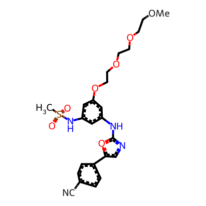 COCCOCCOCCOc1cc(Nc2ncc(-c3ccc(C#N)cc3)o2)cc(NS(C)(=O)=O)c1